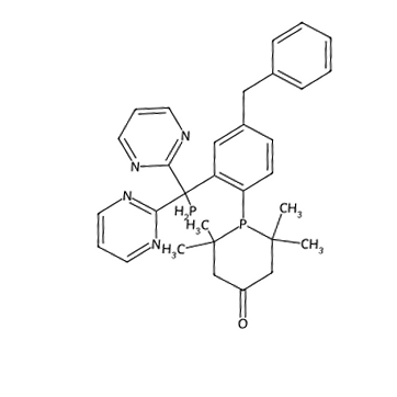 CC1(C)CC(=O)CC(C)(C)P1c1ccc(Cc2ccccc2)cc1C(P)(c1ncccn1)c1ncccn1